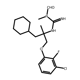 CN(C=O)C(=N)NC(C)(COc1cccc(Cl)c1F)CC1CCCCC1